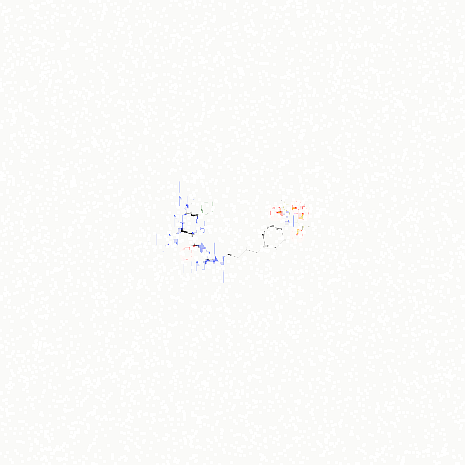 CS(=O)(=O)N(C1CCC(CCCCNC(=N)NC(=O)c2nc(Cl)c(N)nc2N)CC1)S(C)(=O)=O